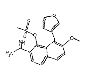 COc1ccc2ccc(C(=N)N)c(OS(C)(=O)=O)c2c1-c1ccoc1